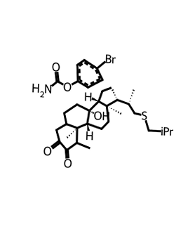 CC(C)CSC[C@@H](C)[C@H]1CC[C@@H]2[C@]1(C)CC[C@@H]1[C@]3(C)C(CC[C@]12O)CC(=O)C(=O)C3C.NC(=O)Oc1ccc(Br)cc1